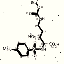 COc1ccc(S(=O)(=O)N[C@@H](C(=O)O)[C@H](O)CCNC(=O)OC(C)(C)C)cc1